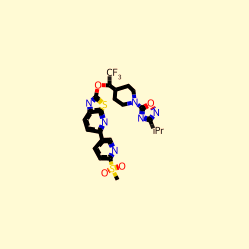 CC(C)c1noc(N2CCC(C(Oc3nc4ccc(-c5ccc(S(C)(=O)=O)nc5)nc4s3)C(F)(F)F)CC2)n1